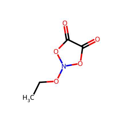 CCOn1oc(=O)c(=O)o1